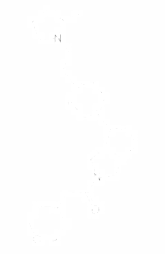 CC1CCCN1CCc1ccc(C2CCC3CN(C(=O)CC4CCOCC4)CC32)cc1